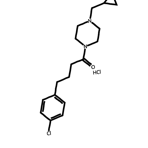 Cl.O=C(CCCc1ccc(Cl)cc1)N1CCN(CC2CC2)CC1